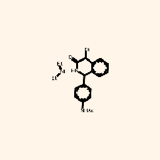 CCC1C(=O)NC(c2ccc(NC(C)=O)cc2)c2ccccc21.CCNCC